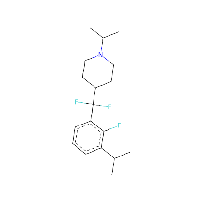 CC(C)c1cccc(C(F)(F)C2CCN(C(C)C)CC2)c1F